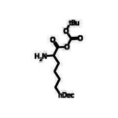 CCCCCCCCCCCCCCC(N)C(=O)OC(=O)OC(C)(C)C